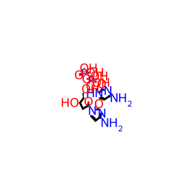 Nc1cc[nH]c(=O)n1.Nc1ccn([C@H]2C[C@H](O)[C@@H](CO)O2)c(=O)n1.O=P(O)(O)OP(=O)(O)O